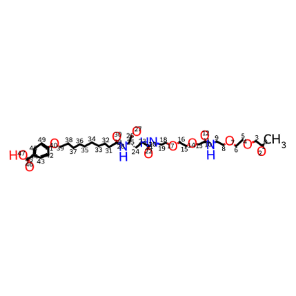 CC(=O)COCCOCCNC(=O)COCCOCCNC(=O)CC[C@@H](C=O)NC(=O)CCCCCCCCCOc1ccc(C(=O)O)cc1